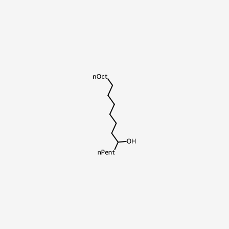 CCCCCCCCCCCCCCC(O)CCCCC